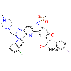 CNC(=O)c1c(-c2ccc(I)cc2)oc2cc(N(C)S(C)(=O)=O)c(-c3ccc4nc(CN5CCN(C)CC5)n5c6cccc(F)c6cc5c4n3)cc12